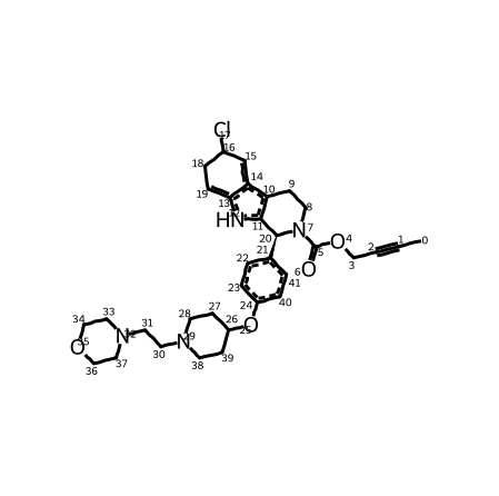 CC#CCOC(=O)N1CCc2c([nH]c3c2=CC(Cl)CC=3)[C@@H]1c1ccc(OC2CCN(CCN3CCOCC3)CC2)cc1